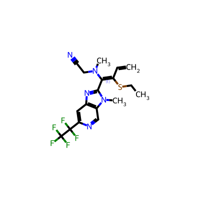 C=C/C(SCC)=C(/c1nc2cc(C(F)(F)C(F)(F)F)ncc2n1C)N(C)CC#N